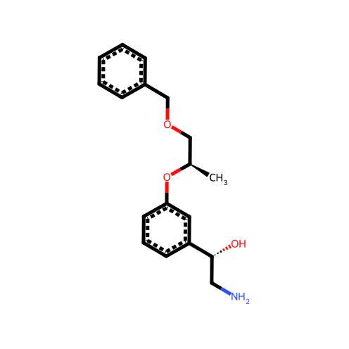 C[C@H](COCc1ccccc1)Oc1cccc([C@H](O)CN)c1